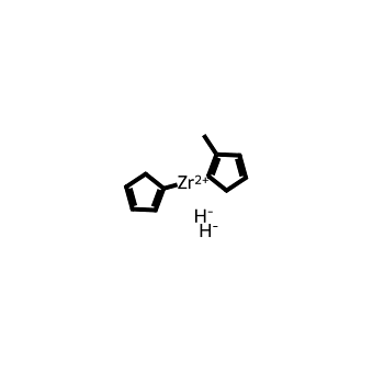 CC1=[C]([Zr+2][C]2=CC=CC2)CC=C1.[H-].[H-]